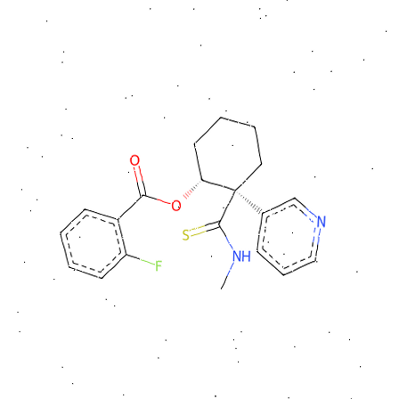 CNC(=S)[C@]1(c2cccnc2)CCCC[C@H]1OC(=O)c1ccccc1F